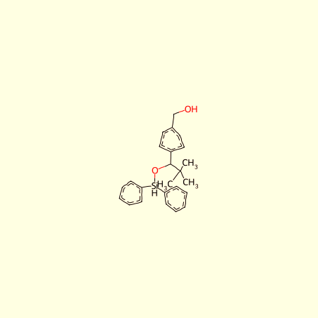 CC(C)(C)C(O[SiH](c1ccccc1)c1ccccc1)c1ccc(CO)cc1